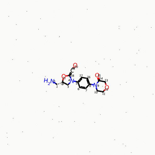 NC[C@H]1CN(c2ccc(N3CCOCC3=O)cc2)C(=C=O)O1